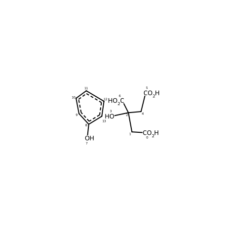 O=C(O)CC(O)(CC(=O)O)C(=O)O.Oc1ccccc1